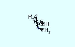 CCC(=O)O.CCCC/C=C\CCCCCCCCCC